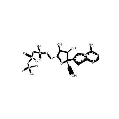 C#C[C@@]1(c2cc3ncnc(N)n3c2)O[C@H](COP(=O)(O)OP(=O)(O)OP(=O)(O)O)[C@@H](O)[C@H]1O